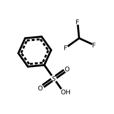 FC(F)F.O=S(=O)(O)c1ccccc1